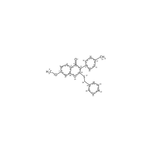 COc1ccc2c(=O)c(-c3ccc(C)cc3)c(SCc3ccncc3)oc2c1